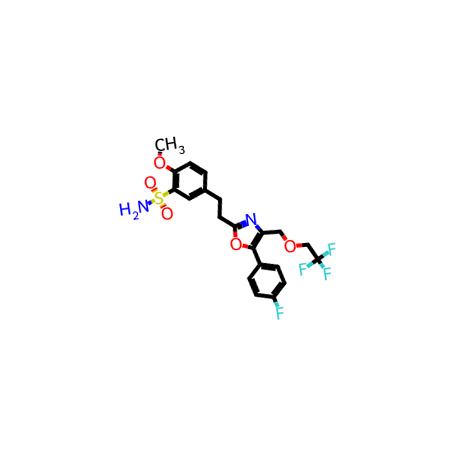 COc1ccc(CCc2nc(COCC(F)(F)F)c(-c3ccc(F)cc3)o2)cc1S(N)(=O)=O